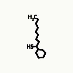 CCCCCCCCC(S)C1CCCCC1